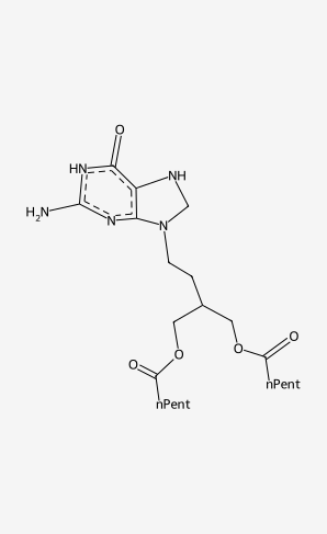 CCCCCC(=O)OCC(CCN1CNc2c1nc(N)[nH]c2=O)COC(=O)CCCCC